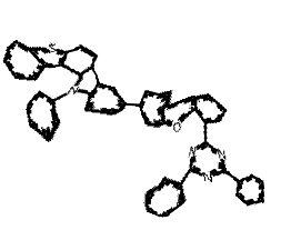 C1=CC2c3cc(-c4ccc5c(c4)oc4c(-c6nc(-c7ccccc7)nc(-c7ccccc7)n6)cccc45)ccc3N(c3ccccc3)C2c2c1sc1ccccc21